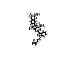 C[C@H](Cc1ccc(C2(C)C(=O)Nc3nc(-c4nn(CCCC(F)(F)F)c5ncccc45)nc(N)c32)cc1)C(=O)O